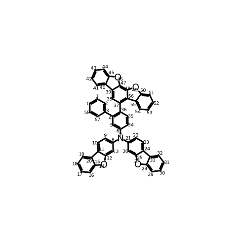 c1ccc(-c2cc(N(c3ccc4c(c3)oc3ccccc34)c3ccc4c(c3)oc3ccccc34)ccc2-c2cc3c4ccccc4oc3c3oc4ccccc4c23)cc1